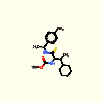 CC(C1CCCCC1)[C@@H](NC(=O)OC(C)(C)C)C(=S)N[C@@H](C)c1ccc([N+](=O)[O-])cc1